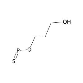 OCCCOP=S